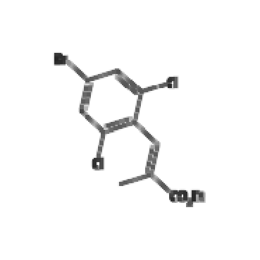 CCOC(=O)/C(C)=C/c1c(Cl)cc(Br)cc1Cl